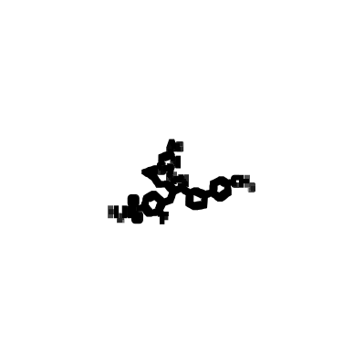 CC(=O)c1csc(-n2nc(-c3cccc(-c4ccc(C)cc4)c3)c(Cc3ccc(S(N)(=O)=O)cc3F)c2CC2CC2)n1